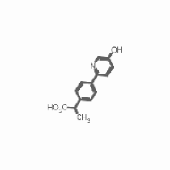 CC(C(=O)O)c1ccc(-c2ccc(O)cn2)cc1